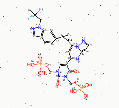 CC(F)(F)Cn1ncc2ccc([C@H]3C[C@@H]3c3cc(-c4cn(COP(=O)(O)O)c(=O)n(COP(=O)(O)O)c4=O)nc4ccnn34)cc21